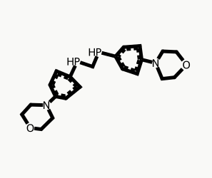 c1cc(N2CCOCC2)ccc1PCPc1ccc(N2CCOCC2)cc1